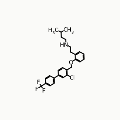 CC(C)CCNCCc1ccccc1OCc1ccc(-c2ccc(C(F)(F)F)cc2)cc1Cl